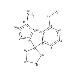 CCc1cccc(C2(c3csc(N)n3)CCCC2)c1